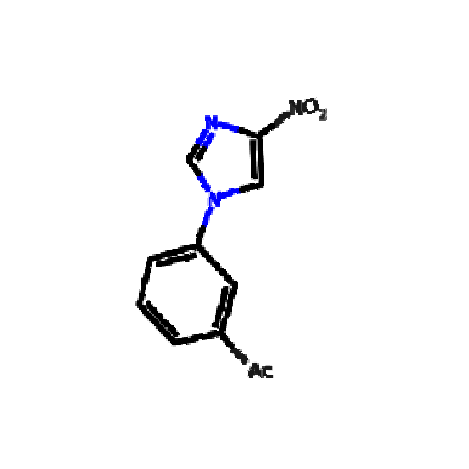 CC(=O)c1cccc(-n2cnc([N+](=O)[O-])c2)c1